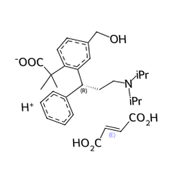 CC(C)N(CC[C@H](c1ccccc1)c1cc(CO)ccc1C(C)(C)C(=O)[O-])C(C)C.O=C(O)/C=C/C(=O)O.[H+]